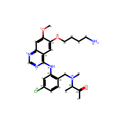 COc1cc2ncnc(Nc3cc(Cl)ccc3CN(C)C(C)C(C)=O)c2cc1OCCCCN